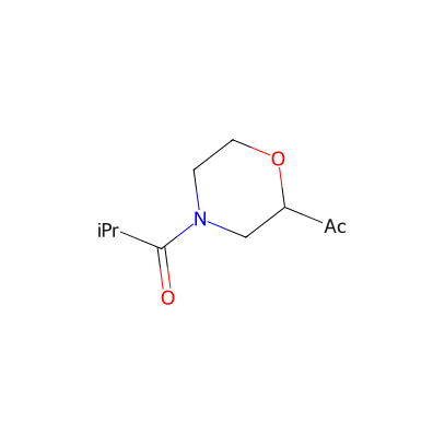 CC(=O)C1CN(C(=O)C(C)C)CCO1